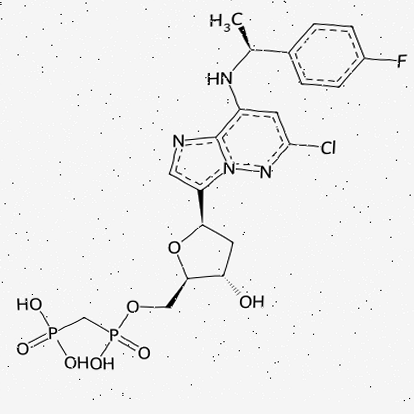 C[C@H](Nc1cc(Cl)nn2c([C@H]3C[C@H](O)[C@@H](COP(=O)(O)CP(=O)(O)O)O3)cnc12)c1ccc(F)cc1